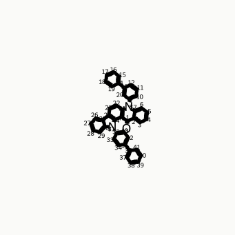 O=c1c2ccccc2n(-c2cccc(-c3ccccc3)c2)c2ccc3c4ccccc4n(-c4ccc(-c5ccccc5)cc4)c3c12